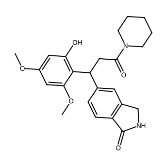 COc1cc(O)c(C(CC(=O)N2CCCCC2)c2ccc3c(c2)CNC3=O)c(OC)c1